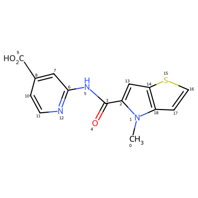 Cn1c(C(=O)Nc2cc(C(=O)O)ccn2)cc2sccc21